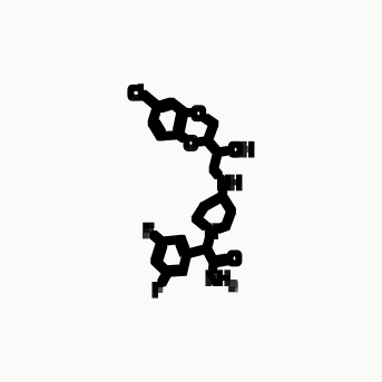 NC(=O)C(c1cc(F)cc(F)c1)N1CCC(NCC(O)C2COc3cc(Cl)ccc3O2)CC1